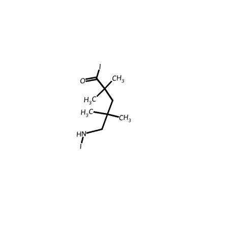 CC(C)(CNI)CC(C)(C)C(=O)I